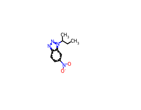 CCC(C)n1nnc2ccc([N+](=O)[O-])cc21